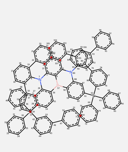 CC(C)(C)c1cc2c3c(c1)N(c1c(-c4ccccc4)cccc1-c1ccccc1)c1cc([Si](c4ccccc4)(c4ccccc4)c4cccc(-c5ccccc5)c4)ccc1B3c1ccc([Si](c3ccccc3)(c3ccccc3)c3cccc(-c4ccccc4)c3)cc1N2c1ccc(-c2ccccc2)cc1-c1ccccc1